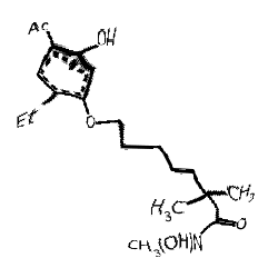 CCc1cc(C(C)=O)c(O)cc1OCCCCCC(C)(C)C(=O)N(C)O